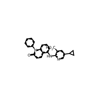 O=C(O)c1cc(C2CC2)cnc1Nc1cccc2c1ccc(=O)n2-c1ccccc1